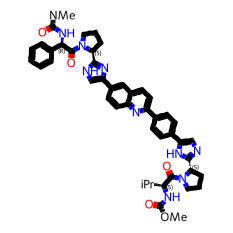 CNC(=O)N[C@@H](C(=O)N1CCC[C@H]1c1nc(-c2ccc3nc(-c4ccc(-c5cnc([C@@H]6CCCN6C(=O)[C@@H](NC(=O)OC)C(C)C)[nH]5)cc4)ccc3c2)c[nH]1)c1ccccc1